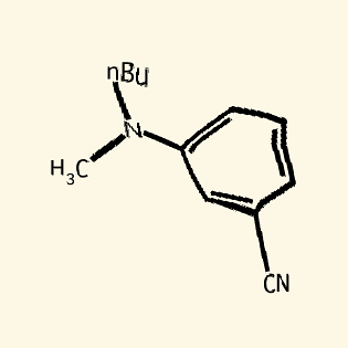 CCCCN(C)c1cccc(C#N)c1